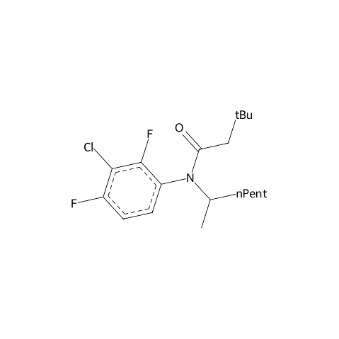 CCCCCC(C)N(C(=O)CC(C)(C)C)c1ccc(F)c(Cl)c1F